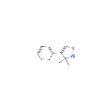 CC1(C)N=NC=C1c1ccccc1